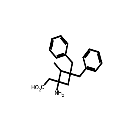 CC1C(N)(CC(=O)O)CC1(Cc1ccccc1)Cc1ccccc1